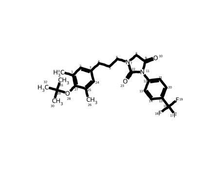 Cc1cc(CCCN2CC(=O)N(c3ccc(C(F)(F)F)cc3)C2=O)cc(C)c1OC(C)(C)C